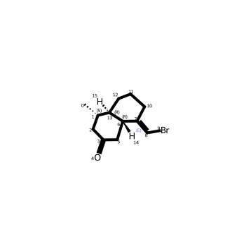 C[C@H]1CC(=O)C[C@H]2/C(=C/Br)CCC[C@H]12